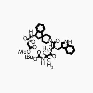 COC(=O)CS(=O)(=O)NC1CC2(CCN(C(=O)[C@@H](Cc3c[nH]c4ccccc34)NC(=O)C(C)(C)NC(=O)OC(C)(C)C)CC2)c2ccccc21